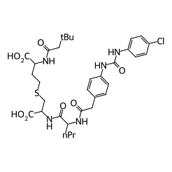 CCCC(NC(=O)Cc1ccc(NC(=O)Nc2ccc(Cl)cc2)cc1)C(=O)NC(CSCCC(NC(=O)CC(C)(C)C)C(=O)O)C(=O)O